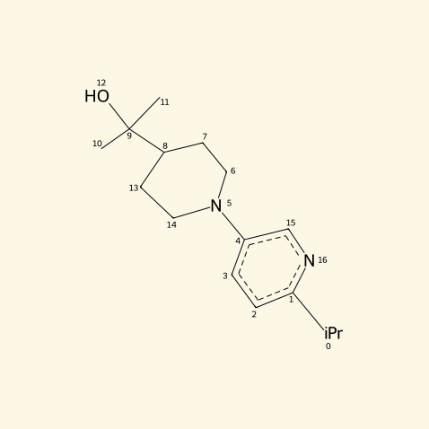 CC(C)c1ccc(N2CCC(C(C)(C)O)CC2)cn1